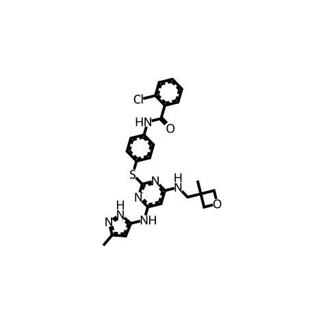 Cc1cc(Nc2cc(NCC3(C)COC3)nc(Sc3ccc(NC(=O)c4ccccc4Cl)cc3)n2)[nH]n1